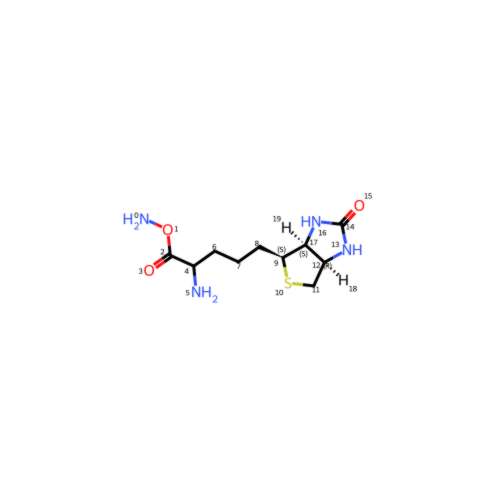 NOC(=O)C(N)CCC[C@@H]1SC[C@@H]2NC(=O)N[C@@H]21